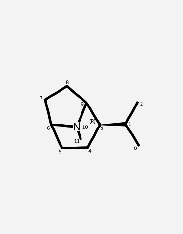 CC(C)[C@H]1CCC2CCC1N2C